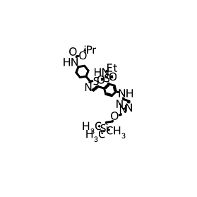 CCNS(=O)(=O)c1cc(Nc2cnn(COCC[Si](C)(C)C)n2)ccc1-c1cnc(C2CCC(NC(=O)OC(C)C)CC2)s1